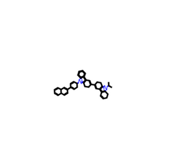 CC(C)n1c2c(c3c1CCC(C1=Cc4c(n(C5C=CC(C6=CC7C=CC=CC7C=C6)=CC5)c5ccccc45)CC1)=C3)C=CCC2